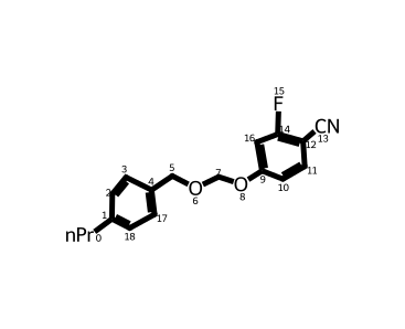 CCCc1ccc(COCOc2ccc(C#N)c(F)c2)cc1